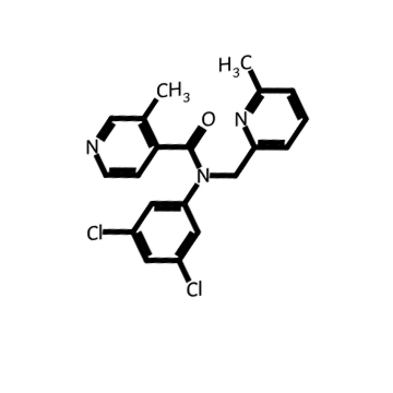 Cc1cccc(CN(C(=O)c2ccncc2C)c2cc(Cl)cc(Cl)c2)n1